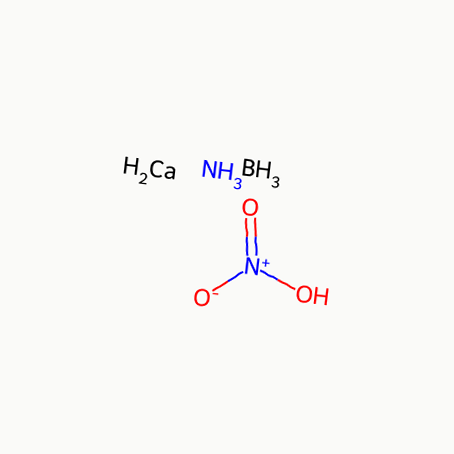 B.N.O=[N+]([O-])O.[CaH2]